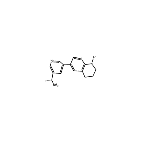 CC(=O)N1CCCc2cc(-c3cncc([C@@H](C)N)c3)cnc21